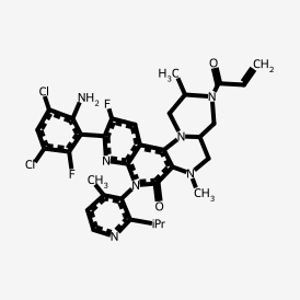 C=CC(=O)N1CC2CN(C)c3c(c4cc(F)c(-c5c(N)c(Cl)cc(Cl)c5F)nc4n(-c4c(C)ccnc4C(C)C)c3=O)N2CC1C